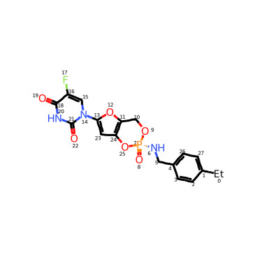 CCc1ccc(CN[P@@]2(=O)OCc3oc(-n4cc(F)c(=O)[nH]c4=O)cc3O2)cc1